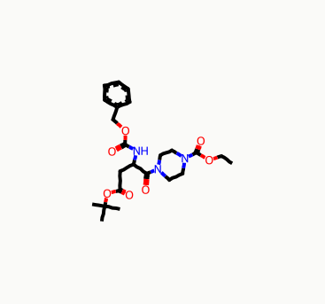 CCOC(=O)N1CCN(C(=O)C(CC(=O)OC(C)(C)C)NC(=O)OCc2ccccc2)CC1